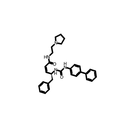 O=C(/C=C\[C@H](Cc1ccccc1)NC(=O)Nc1ccc(-c2ccccc2)cc1)NCCN1CCCC1